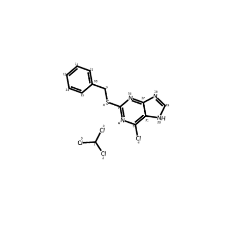 ClC(Cl)Cl.Clc1nc(SCc2ccccc2)nc2nc[nH]c12